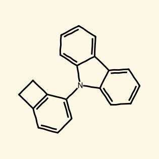 c1cc2c(c(-n3c4ccccc4c4ccccc43)c1)CC2